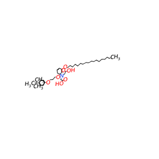 CCCCCCCCCCCCCCCCCCOC1=CC(OCCCOc2ccc(C(C)(C)C)cc2)(N(CC(=O)O)CC(=O)O)CC=C1